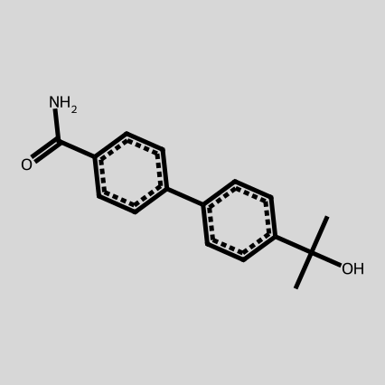 CC(C)(O)c1ccc(-c2ccc(C(N)=O)cc2)cc1